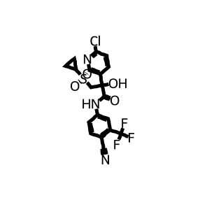 N#Cc1ccc(NC(=O)C(O)(CS(=O)(=O)C2CC2)c2ccc(Cl)nc2)cc1C(F)(F)F